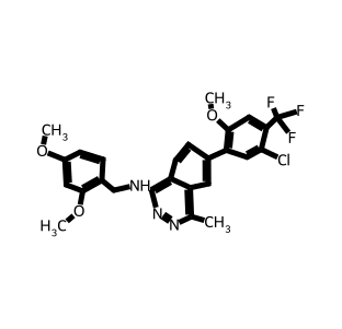 COc1ccc(CNc2nnc(C)c3cc(-c4cc(Cl)c(C(F)(F)F)cc4OC)ccc23)c(OC)c1